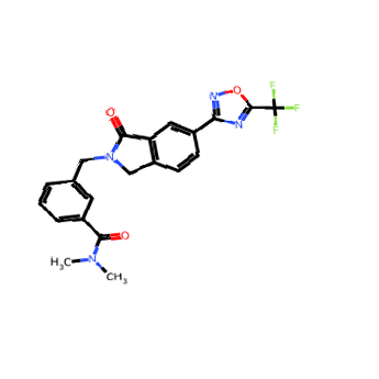 CN(C)C(=O)c1cccc(CN2Cc3ccc(-c4noc(C(F)(F)F)n4)cc3C2=O)c1